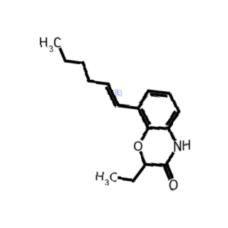 CCCC/C=C/c1cccc2c1OC(CC)C(=O)N2